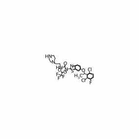 CC(Oc1ccc2nc(N(OC(=O)C(F)(F)F)C(=O)NCCN3CCNCC3)sc2c1)c1c(Cl)ccc(F)c1Cl